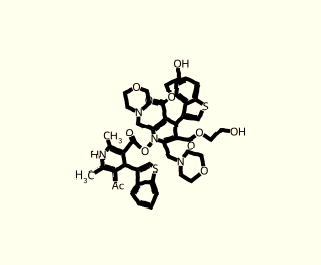 CC(=O)C1=C(C)NC(C)=C(C(=O)ON2C(CN3CCOCC3)=C(C(=O)OCCO)C(c3csc4ccccc34)C(C(=O)OCCO)=C2CN2CCOCC2)C1c1csc2ccccc12